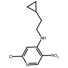 O=[N+]([O-])c1cnc(Cl)cc1NCCC1CC1